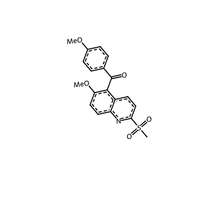 COc1ccc(C(=O)c2c(OC)ccc3nc(S(C)(=O)=O)ccc23)cc1